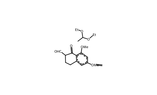 C=C.CCOC(C)OCC.COc1cc2c(c(OC)c1)C(=O)C(C=O)CC2